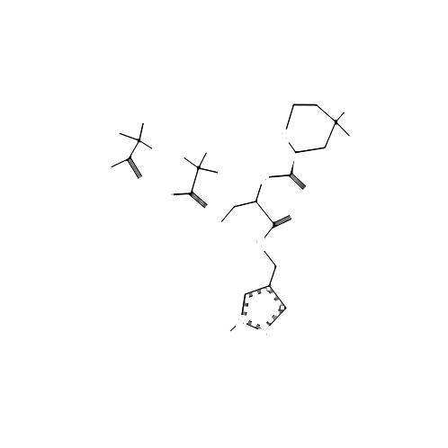 CC(C)CC(NC(=O)[C@@H]1CC(F)(F)CCN1)C(=O)NCc1cnn(C)c1.O=C(O)C(F)(F)F.O=C(O)C(F)(F)F